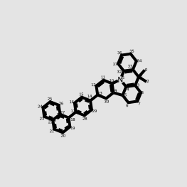 CC1(C)C2=C3C(CC=C2)C2=C(C=CC(c4ccc(-c5cccc6ccccc56)cc4)C2)N3C2=C1CCC=C2